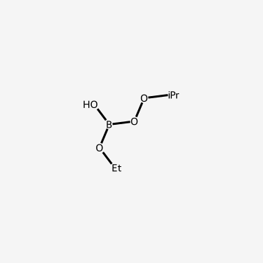 CCOB(O)OOC(C)C